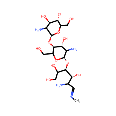 CN=CC(N)[C@@H](O)[C@H](O[C@@H]1OC(CO)[C@@H](O[C@@H]2OC(CO)[C@@H](O)[C@H](O)C2N)[C@H](O)C1N)C(O)CO